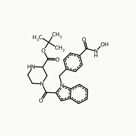 CC(C)(C)OC(=O)C1CN(C(=O)c2cc3ccccc3n2Cc2ccc(C(=O)NO)cc2)CCN1